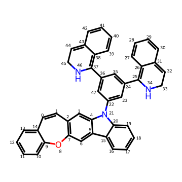 C1=Cc2cc3c(cc2Oc2ccccc21)c1ccccc1n3-c1cc(C2=c3ccccc3=CCN2)cc(C2=c3ccccc3=CCN2)c1